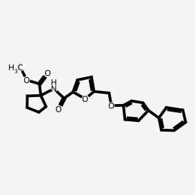 COC(=O)C1(NC(=O)c2ccc(COc3ccc(-c4ccccc4)cc3)o2)CCCC1